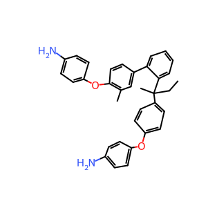 CCC(C)(c1ccc(Oc2ccc(N)cc2)cc1)c1ccccc1-c1ccc(Oc2ccc(N)cc2)c(C)c1